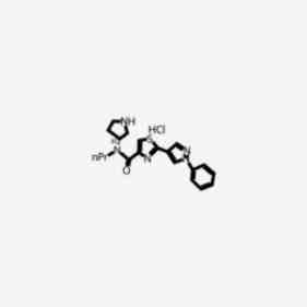 CCCN(C(=O)c1csc(-c2cnn(-c3ccccc3)c2)n1)[C@@H]1CCNC1.Cl